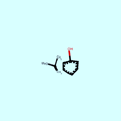 C=C(C)OC.Oc1ccccc1